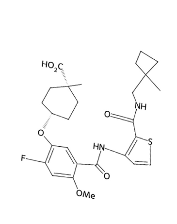 COc1cc(F)c(O[C@H]2CC[C@@](C)(C(=O)O)CC2)cc1C(=O)Nc1ccsc1C(=O)NCC1(C)CCC1